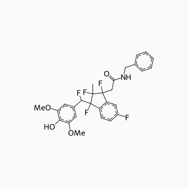 COc1cc(C(F)C2(F)c3ccc(F)cc3C(F)(CC(=O)NCc3ccccc3)C2(C)F)cc(OC)c1O